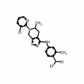 CCC(CC)c1ccc(Nc2nsc3c2CC(C)N(c2ncccc2Cl)C3)cc1C